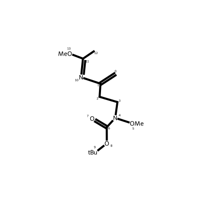 C=C(CCN(OC)C(=O)OC(C)(C)C)/N=C(\C)OC